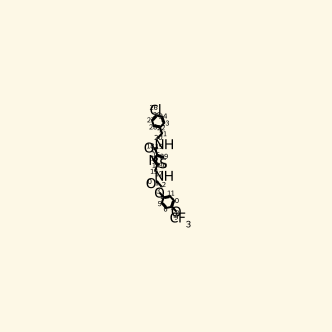 O=C(COc1ccc(OC(F)(F)F)cc1)NCc1nc(C(=O)NCCc2ccc(Cl)cc2)cs1